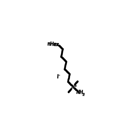 CCCCCCCCCCCC[N+](C)(C)N.[I-]